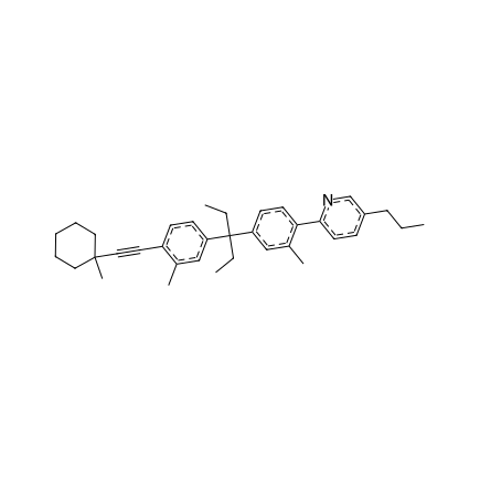 CCCc1ccc(-c2ccc(C(CC)(CC)c3ccc(C#CC4(C)CCCCC4)c(C)c3)cc2C)nc1